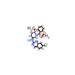 COc1cccc(OC)c1C(=O)N1CCCC(Nc2ncc3ccc(Cl)cc3n2)C1